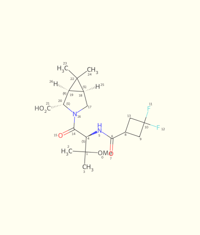 COC(C)(C)[C@H](NC(=O)C1CC(F)(F)C1)C(=O)N1C[C@H]2[C@@H]([C@H]1C(=O)O)C2(C)C